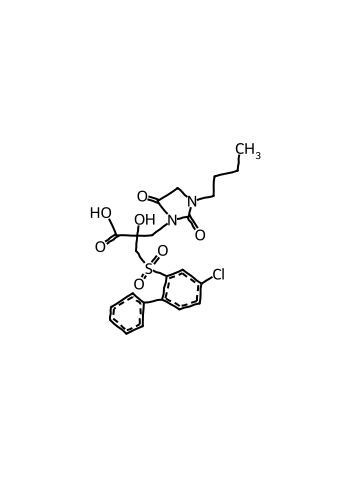 CCCCN1CC(=O)N(CC(O)(CS(=O)(=O)c2cc(Cl)ccc2-c2ccccc2)C(=O)O)C1=O